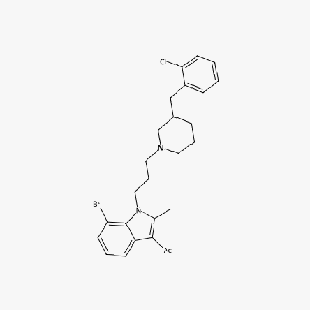 CC(=O)c1c(C)n(CCCN2CCCC(Cc3ccccc3Cl)C2)c2c(Br)cccc12